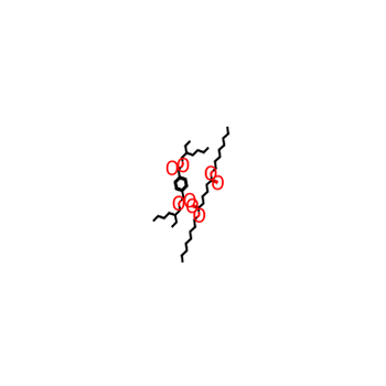 CCCCC(CC)COC(=O)c1ccc(C(=O)OCC(CC)CCCC)cc1.CCCCCCCCOC(=O)CCCCC(=O)OCCCCCCCC